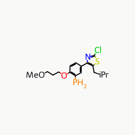 COCCCOc1ccc(-c2nc(Cl)sc2CC(C)C)cc1P